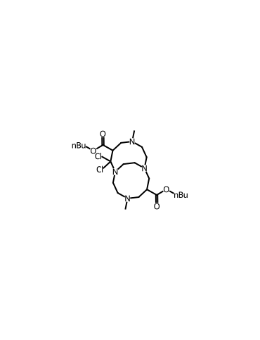 CCCCOC(=O)C1CN(C)CCN2CCN(CCN(C)CC(C(=O)OCCCC)C2(Cl)Cl)C1